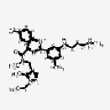 CCn1ncc(CN(C)C(=O)c2nc(-c3cc(C)cc(NCCCNC)c3)nc3ccc(Cl)cc23)c1C